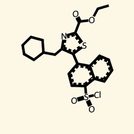 CCOC(=O)c1nc(CC2CCCCC2)c(-c2ccc(S(=O)(=O)Cl)c3ccccc23)s1